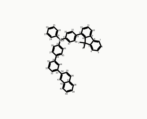 CC1(C)c2ccccc2-c2cccc(-c3ccc(N(c4ccccc4)c4ccc(-c5cccc(-c6ccc7ccccc7c6)c5)cc4)cc3)c21